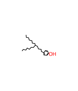 CCCCCCCC(CCCCCCC)CCCCc1ccc(O)cc1